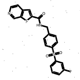 O=C(NCc1ccc(S(=O)(=O)c2cccc(F)c2)cc1)c1cc2ccncc2s1